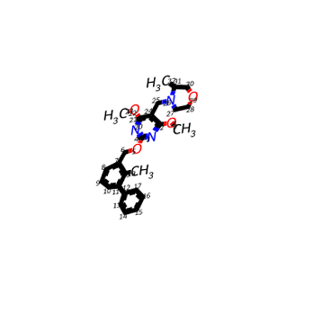 COc1nc(OCc2cccc(-c3ccccc3)c2C)nc(OC)c1CN1CCOCC1C